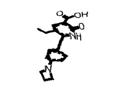 CCc1cc(C(=O)O)c(=O)[nH]c1-c1ccc(N2CCC2)cc1